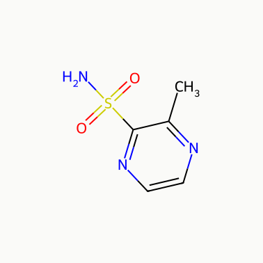 Cc1nccnc1S(N)(=O)=O